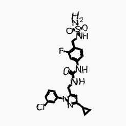 NS(=O)(=O)NCc1ccc(NC(=O)NCc2cc(C3CC3)nn2-c2cccc(Cl)c2)cc1F